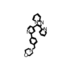 c1ccc(-c2nc3ccccn3c2-c2ccnc(-c3ccc(CN4CCOCC4)cc3)c2)nc1